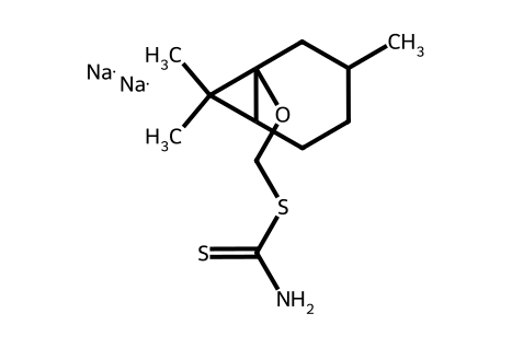 CC1CCC2C(C)(C)C2(OCSC(N)=S)C1.[Na].[Na]